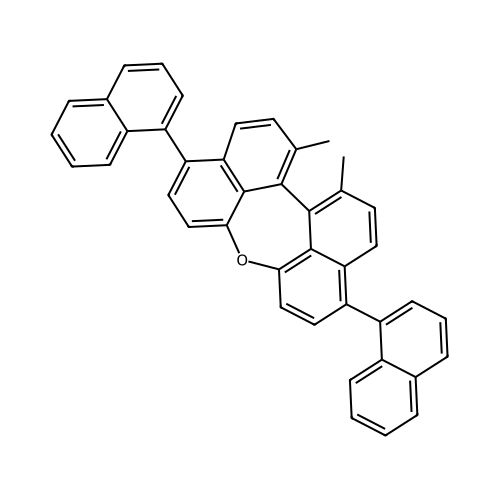 Cc1ccc2c(-c3cccc4ccccc34)ccc3oc4ccc(-c5cccc6ccccc56)c5ccc(C)c(c1c32)c45